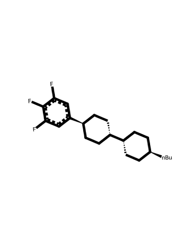 CCCC[C@H]1CC[C@H]([C@H]2CC[C@H](c3cc(F)c(F)c(F)c3)CC2)CC1